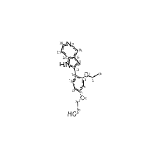 CCOc1cc(OCCO)ccc1-c1nc2cnccc2[nH]1